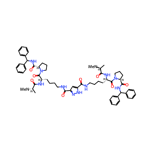 CN[C@@H](C)C(=O)N[C@@H](CCCCNC(=O)c1cc(C(=O)NCCCC[C@H](NC(=O)[C@H](C)NC)C(=O)N2CCC[C@H]2C(=O)NC(c2ccccc2)c2ccccc2)[nH]n1)C(=O)N1CCC[C@H]1C(=O)NC(c1ccccc1)c1ccccc1